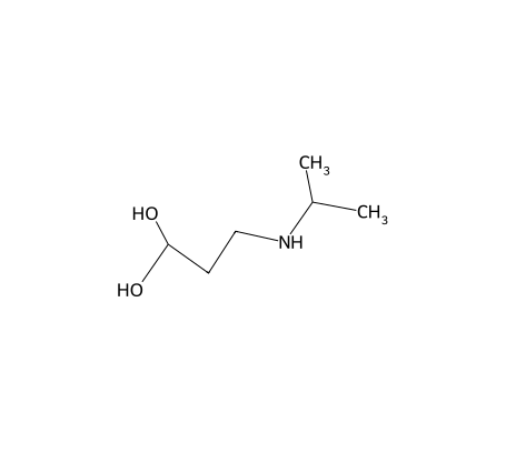 CC(C)NCCC(O)O